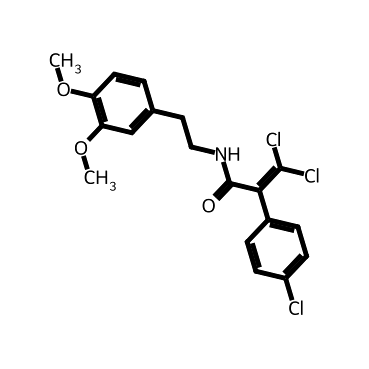 COc1ccc(CCNC(=O)C(=C(Cl)Cl)c2ccc(Cl)cc2)cc1OC